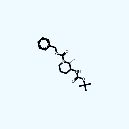 C[C@@H]1C(NC(=O)OC(C)(C)C)CCCN1C(=O)OCc1ccccc1